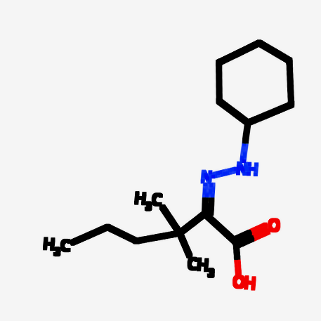 CCCC(C)(C)C(=NNC1CCCCC1)C(=O)O